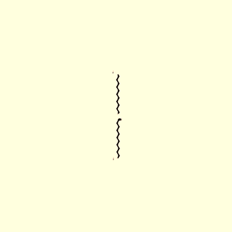 CC(C)CCCCCCCCCCCOC(=O)CCCCCCCCCCC(C)C